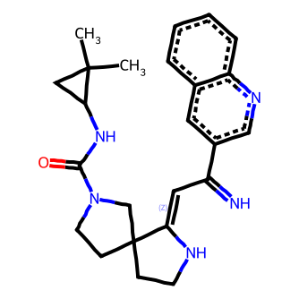 CC1(C)CC1NC(=O)N1CCC2(CCN/C2=C\C(=N)c2cnc3ccccc3c2)C1